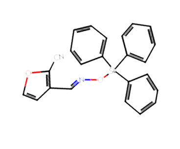 N#Cc1occc1/C=N/O[Si](c1ccccc1)(c1ccccc1)c1ccccc1